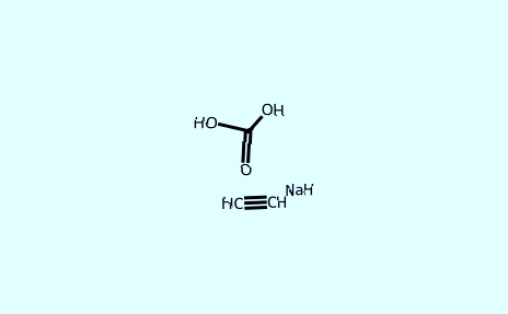 C#C.O=C(O)O.[NaH]